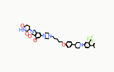 C=C(C)c1ccc(N2CCC(c3ccc(OCCCCCN4CCN(c5cc6c(c(OC)c5)C(=O)N(C5CCC(=O)NC5=O)C6)CC4)cc3)CC2)cc1C(F)(F)F